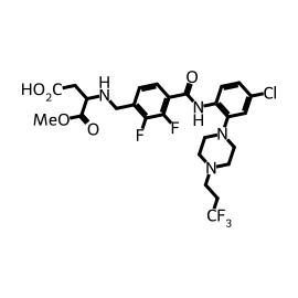 COC(=O)C(CC(=O)O)NCc1ccc(C(=O)Nc2ccc(Cl)cc2N2CCN(CCC(F)(F)F)CC2)c(F)c1F